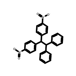 O=[N+]([O-])c1ccc([C](c2ccc([N+](=O)[O-])cc2)C(c2ccccc2)c2ccccc2)cc1